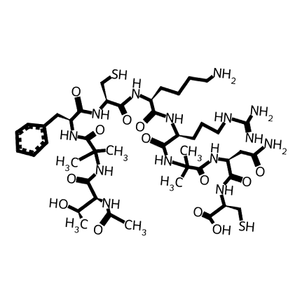 CC(=O)N[C@H](C(=O)NC(C)(C)C(=O)N[C@@H](Cc1ccccc1)C(=O)N[C@@H](CS)C(=O)N[C@@H](CCCCN)C(=O)N[C@@H](CCCNC(=N)N)C(=O)NC(C)(C)C(=O)N[C@@H](CC(N)=O)C(=O)N[C@@H](CS)C(=O)O)[C@@H](C)O